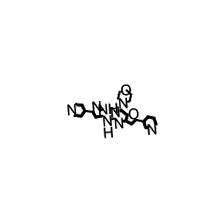 c1cncc(-c2cc3nc(Nc4cc(-c5ccncc5)n[nH]4)nc(N4CCOCC4)c3o2)c1